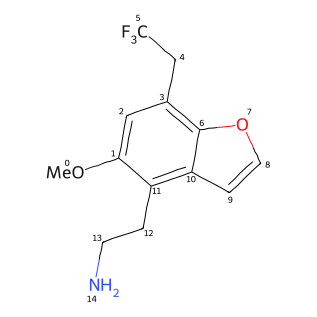 COc1cc(CC(F)(F)F)c2occc2c1CCN